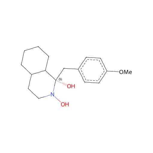 COc1ccc(C[C@]2(O)C3CCCCC3CCN2O)cc1